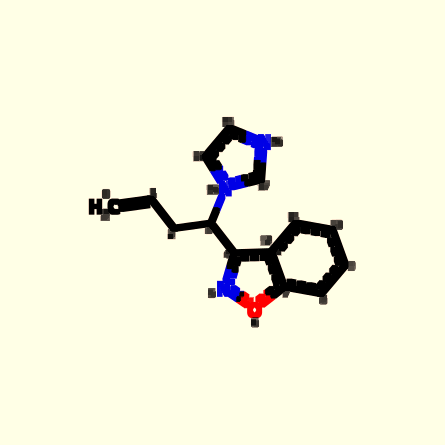 C=CCC(c1noc2ccccc12)n1ccnc1